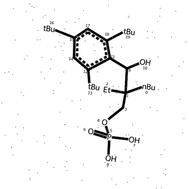 CCCCC(CC)(COP(=O)(O)O)C(O)c1c(C(C)(C)C)cc(C(C)(C)C)cc1C(C)(C)C